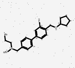 CCCN(CCC(C)C)Cc1ccc(-c2ccc(COC3CCCC3)c(F)c2)cc1